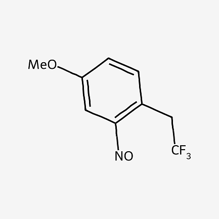 COc1ccc(CC(F)(F)F)c(N=O)c1